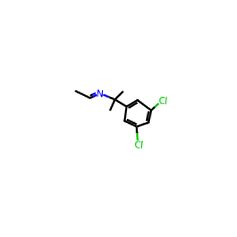 CC=NC(C)(C)c1cc(Cl)cc(Cl)c1